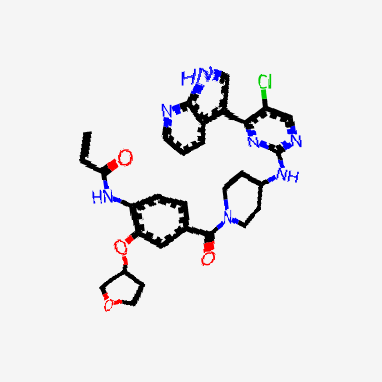 C=CC(=O)Nc1ccc(C(=O)N2CCC(Nc3ncc(Cl)c(-c4c[nH]c5ncccc45)n3)CC2)cc1OC1CCOC1